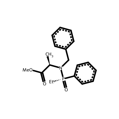 CC[P@@](=O)(c1ccccc1)N(Cc1ccccc1)[C@H](C)C(=O)OC